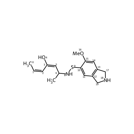 C/C=C\C(O)=C/C(C)NSc1cc2c(cc1OC)CNC2